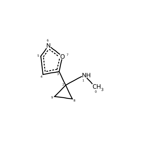 CNC1(c2ccno2)CC1